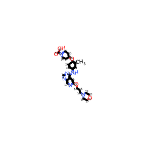 Cc1cc(Nc2ncnc3cnc(OCCCN4CCOCC4)cc23)ccc1OC1CCN(C(=O)O)CC1